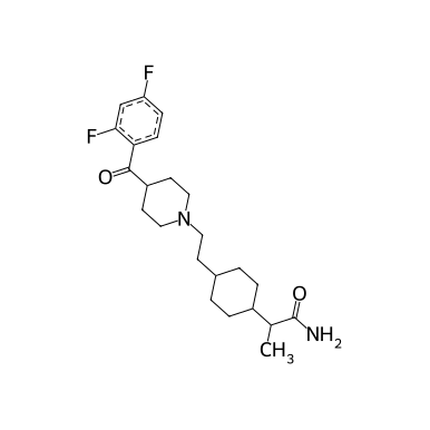 CC(C(N)=O)C1CCC(CCN2CCC(C(=O)c3ccc(F)cc3F)CC2)CC1